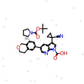 CC(C)(C)OC(=O)N1CCC[C@H]1c1cc(-c2cnc3c(c2)c(C2(C#N)CC2)cn3C(=O)O)cc2c1COCC2